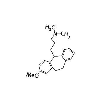 COc1ccc2c(c1)CCc1ccccc1C2CCCN(C)C